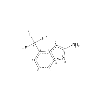 Nc1nc2c(C(F)(F)F)cccc2o1